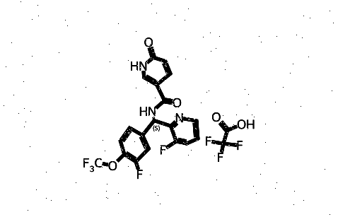 O=C(N[C@@H](c1ccc(OC(F)(F)F)c(F)c1)c1ncccc1F)c1ccc(=O)[nH]c1.O=C(O)C(F)(F)F